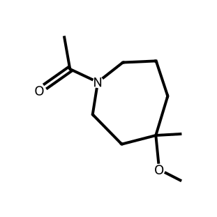 COC1(C)CCCN(C(C)=O)CC1